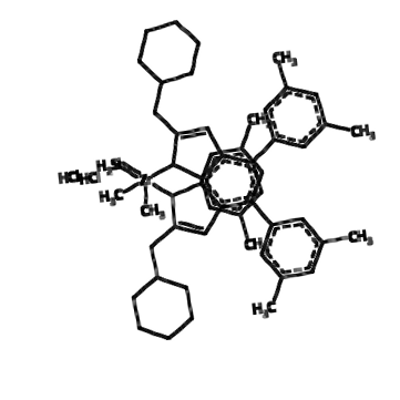 Cc1cc(C)cc(-c2cc(C)cc3c2C=C(CC2CCCCC2)[CH]3[Zr]([CH3])([CH3])(=[SiH2])[CH]2C(CC3CCCCC3)=Cc3c(-c4cc(C)cc(C)c4)cc(C)cc32)c1.Cl.Cl